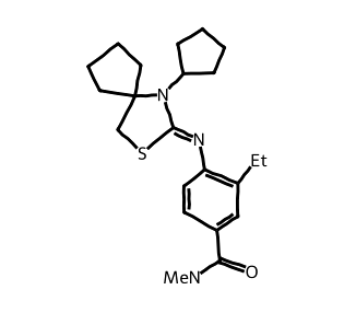 CCc1cc(C(=O)NC)ccc1N=C1SCC2(CCCC2)N1C1CCCC1